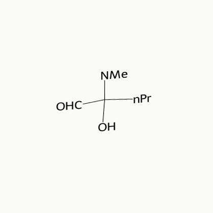 CCCC(O)(C=O)NC